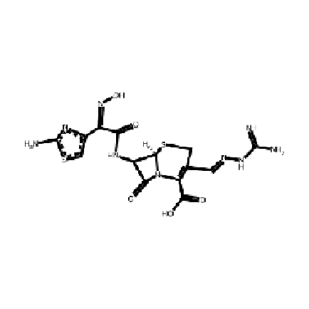 N=C(N)N/N=C/C1=C(C(=O)O)N2C(=O)C(NC(=O)/C(=N\O)c3csc(N)n3)[C@H]2SC1